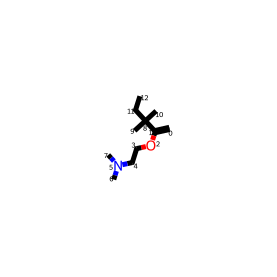 C=C(OCCN(C)C)C(C)(C)CC